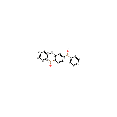 [O-][S+](c1ccccc1)c1ccc2c(c1)Cc1ccccc1[S+]2[O-]